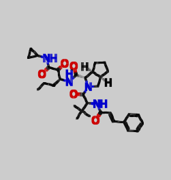 CCC[C@H](NC(=O)[C@@H]1[C@H]2CCC[C@H]2CN1C(=O)[C@@H](NC(=O)C=Cc1ccccc1)C(C)(C)C)C(=O)C(=O)NC1CC1